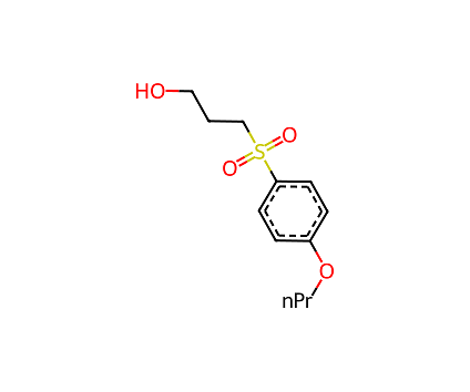 CCCOc1ccc(S(=O)(=O)CCCO)cc1